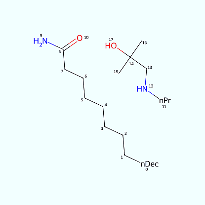 CCCCCCCCCCCCCCCCCC(N)=O.CCCNCC(C)(C)O